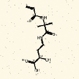 C=CC(=O)NC(C)(C)C(=O)NCCC(O)C(=O)O